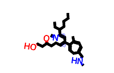 C=N/C(=C\C(=C/CCC(=O)CCO)C1=CCC(CNC)=CC=C1C)C(CC)CCCC